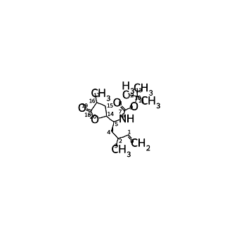 C=CC(C)C[C@H](NC(=O)OC(C)(C)C)C1CC(C)C(=O)O1